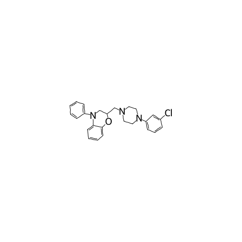 Clc1cccc(N2CCN(CC3CN(c4ccccc4)c4ccccc4O3)CC2)c1